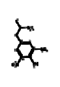 CC(N)Cc1cc([N+](=O)[O-])c(O)c([N+](=O)[O-])c1